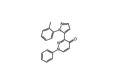 Cc1ccccc1-n1nccc1-c1nn(-c2ccccc2)ccc1=O